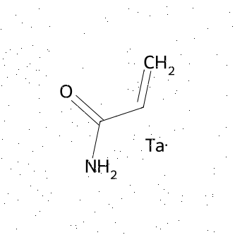 C=CC(N)=O.[Ta]